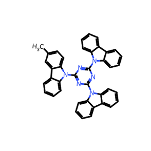 Cc1ccc2c(c1)c1ccccc1n2-c1nc(-n2c3ccccc3c3ccccc32)nc(-n2c3ccccc3c3ccccc32)n1